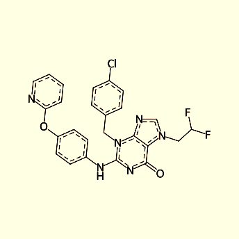 O=c1nc(Nc2ccc(Oc3ccccn3)cc2)n(Cc2ccc(Cl)cc2)c2ncn(CC(F)F)c12